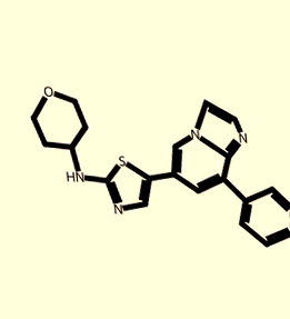 c1ccc(-c2cc(-c3cnc(NC4CCOCC4)s3)cn3ccnc23)cc1